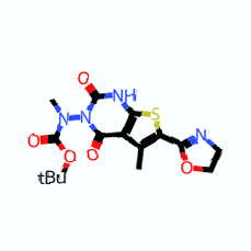 Cc1c(C2=NCCO2)sc2[nH]c(=O)n(N(C)C(=O)OC(C)(C)C)c(=O)c12